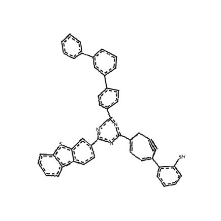 Sc1ccccc1C1=CC=C(c2nc(-c3ccc(-c4cccc(-c5ccccc5)c4)cc3)nc(-c3ccc4c(c3)sc3ccccc34)n2)CC#C1